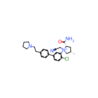 C[C@H]1C[C@@H](C(N)=O)[N+](CC#N)(c2cc(-c3ccc(CCN4CCCC4)cc3)ccc2Cl)C1